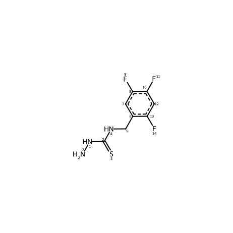 NNC(=S)NCc1cc(F)c(F)cc1F